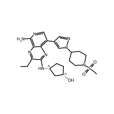 CCc1nc2c(N)ncc(-c3cnn(C4CCN(S(C)(=O)=O)CC4)c3)c2nc1N[C@@H]1CC[C@H](O)C1